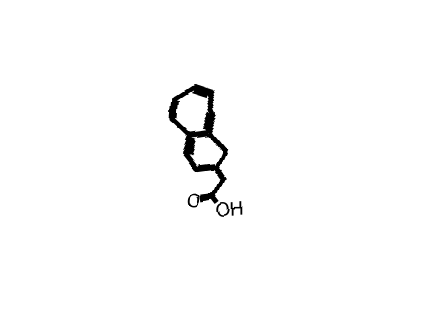 O=C(O)CC1=CC=C2C=CC=CC=C2C1